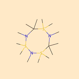 CN1C(C)(C)S(C)(C)N(C)C(C)(C)S(C)(C)N(C)S1(C)C